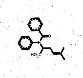 CC(C)=CCC(C(=O)O)N(C(=O)c1ccccc1)c1ccccc1